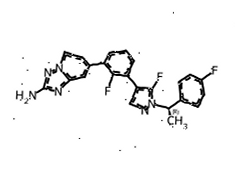 C[C@H](c1ccc(F)cc1)n1ncc(-c2cccc(-c3ccn4nc(N)nc4c3)c2F)c1F